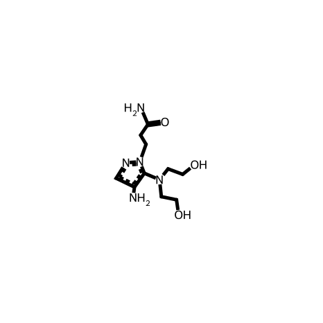 NC(=O)CCn1ncc(N)c1N(CCO)CCO